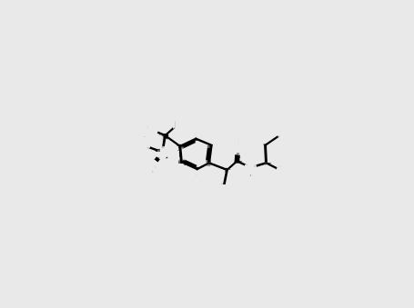 CCC(C)OC(=O)C(C)c1ccc(C(F)(F)P(=O)(O)O)cc1